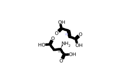 N[C@@H](CC(=O)O)C(=O)O.O=C(O)/C=C/C(=O)O